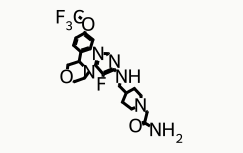 NC(=O)CN1CCC(CNc2ncnc(N3CCOCC3c3ccc(OC(F)(F)F)cc3)c2F)CC1